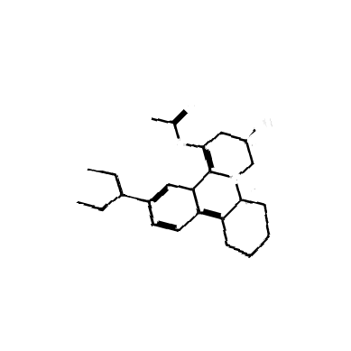 CCC(CC)C1=CC2C(=C3CCCC[C@@H]3N3C[C@H](O)CC(OC(C)=O)=C23)C=C1